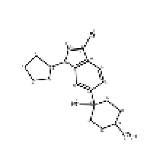 CCc1nn(C2CCCC2)c2cc(C3(C#N)CCC(C(=O)O)CC3)ccc12